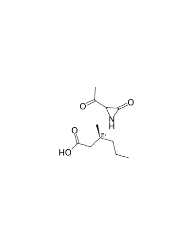 CC(=O)C1NC1=O.CCC[C@H](C)CC(=O)O